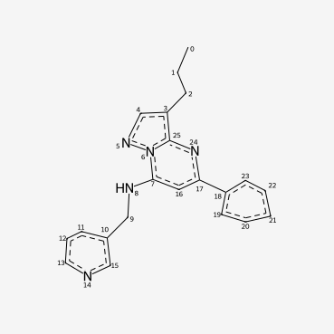 CCCc1cnn2c(NCc3cccnc3)cc(-c3ccccc3)nc12